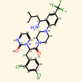 CC(C)CC(N)c1cc(C(F)(F)F)ccc1N1CCN(C(=O)C(Cc2ccc(Cl)cc2Cl)n2cccnc2=O)CC1